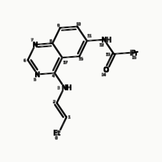 CCC=CNc1ncnc2ccc(NC(=O)C(C)C)cc12